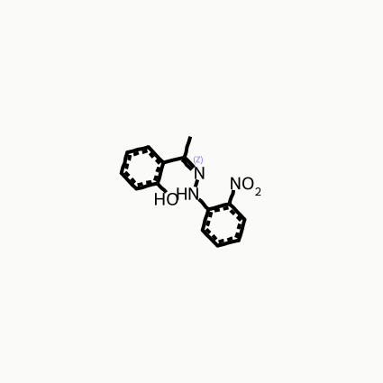 C/C(=N/Nc1ccccc1[N+](=O)[O-])c1ccccc1O